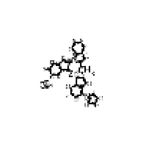 Cc1cc2ccccc2n1C1=Cc2ccccc2[CH]1[Zr+2][CH]1C=Cc2c1cccc2-n1cccc1.[Cl-].[Cl-]